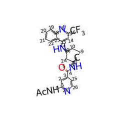 CC(=O)Nc1cc(C(=O)N[C@@H]2CCC[C@H](Nc3cc(C(F)(F)F)nc4ccccc34)C2)ccn1